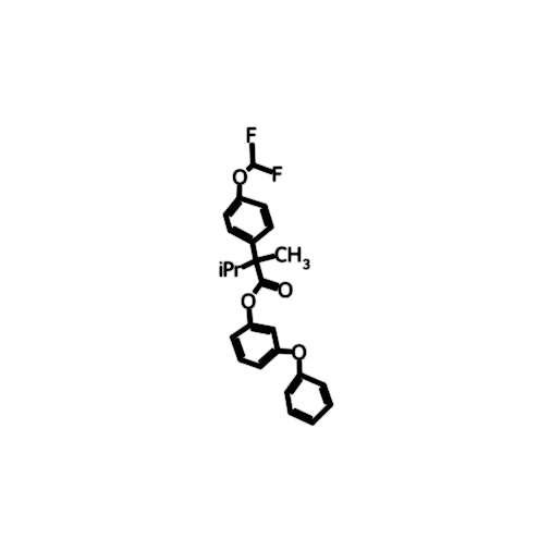 CC(C)C(C)(C(=O)Oc1cccc(Oc2ccccc2)c1)c1ccc(OC(F)F)cc1